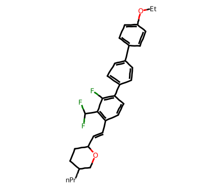 CCCC1CCC(/C=C/c2ccc(-c3ccc(-c4ccc(OCC)cc4)cc3)c(F)c2C(F)F)OC1